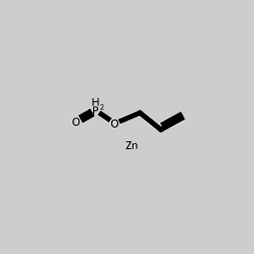 C=CCO[PH2]=O.[Zn]